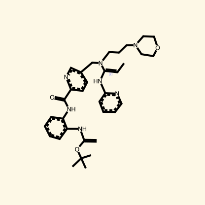 C=C(Nc1ccccc1NC(=O)c1ccc(CN(CCCN2CCOCC2)/C(=C\C)Nc2ccccn2)cn1)OC(C)(C)C